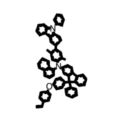 C=Cc1ccc(Oc2ccc(C3(c4ccccc4)c4ccccc4-c4ccc(N(c5cc(C)c(-c6ccc7c(c6)c6ccccc6n7-c6ccccc6)cc5C)c5cccc6ccccc56)cc43)cc2)cc1